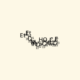 CCC(CC)c1ccc(N(Cc2cccc(-c3ccc(OCc4cccc(F)c4C(=O)O)cc3)c2)C(C)C)cc1